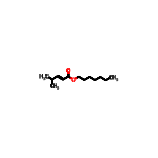 CCCCCCCOC(=O)C=CC(C)C